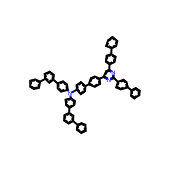 c1ccc(-c2ccc(-c3cc(-c4ccc(-c5ccc(N(c6ccc(-c7cccc(-c8ccccc8)c7)cc6)c6ccc(-c7cccc(-c8ccccc8)c7)cc6)cc5)cc4)nc(-c4ccc(-c5ccccc5)cc4)n3)cc2)cc1